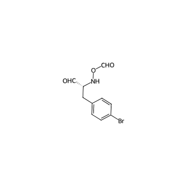 O=CON[C@@H](C=O)Cc1ccc(Br)cc1